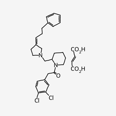 O=C(Cc1ccc(Cl)c(Cl)c1)N1CCCCC1CN1CCC(=CCCc2ccccc2)C1.O=C(O)C=CC(=O)O